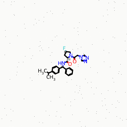 CC(C)c1ccc([C@@H](NC(=O)[C@@H]2C[C@@H](F)CN2C(=O)Cn2cnnc2)c2ccccc2)cc1